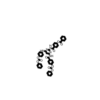 O=C(Oc1ccccc1)Oc1ccc(Nc2cc(NC(=O)c3ccc(OC(=O)Oc4ccccc4)cc3)nc(NC(=O)c3ccc(OC(=O)c4ccccc4)cc3)n2)cc1